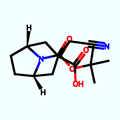 CC(C)(C)OC(=O)N1[C@@H]2CC[C@H]1CC(CC#N)(C(=O)O)C2